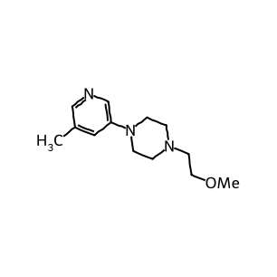 COCCN1CCN(c2cncc(C)c2)CC1